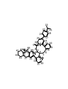 C=C1CC2C(CCc3ccccc3-c3cc(-c4ccc(C(C)C)cc4)cc[n+]31)c1ncccc1-c1cc(CC3CCCCC3)c([Si](C)(C)C)c[n+]12